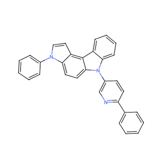 c1ccc(-c2ccc(-n3c4ccccc4c4c5ccn(-c6ccccc6)c5ccc43)cn2)cc1